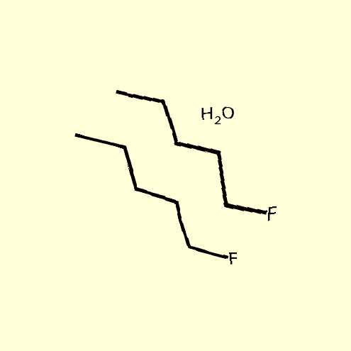 CCCCCF.CCCCCF.O